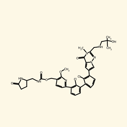 COc1nc(-c2cccc(-c3cccc(-c4cc5c(=O)n(C)c(CNCC(C)(C)O)nn5c4)c3Cl)c2Cl)ccc1COC(=O)NCC1CCC(=O)N1